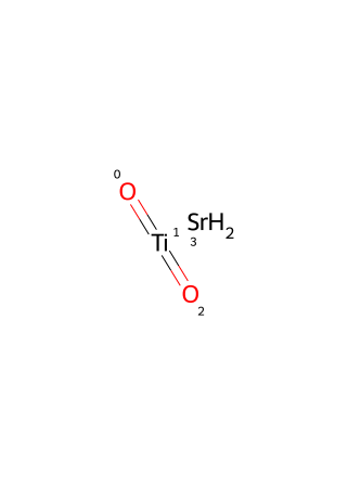 [O]=[Ti]=[O].[SrH2]